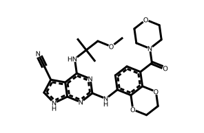 COCC(C)(C)Nc1nc(Nc2ccc(C(=O)N3CCOCC3)c3c2OCCO3)nc2[nH]cc(C#N)c12